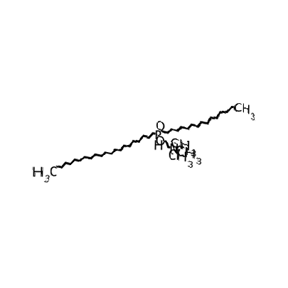 CCCCCCCCCCCCCCCCCCCCCC[PH-](OCC[N+](C)(C)C)C(=O)CCCCCCCCCCCCCCC